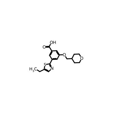 CCc1cnc(-c2cc(OCC3CCOCC3)cc(C(=O)O)c2)s1